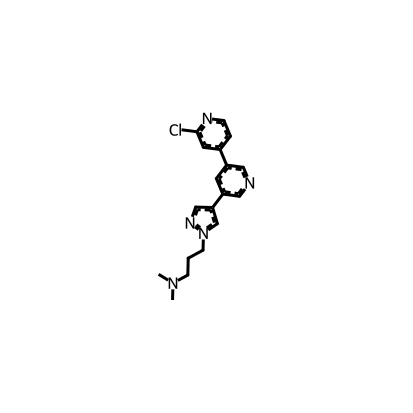 CN(C)CCCn1cc(-c2cncc(-c3ccnc(Cl)c3)c2)cn1